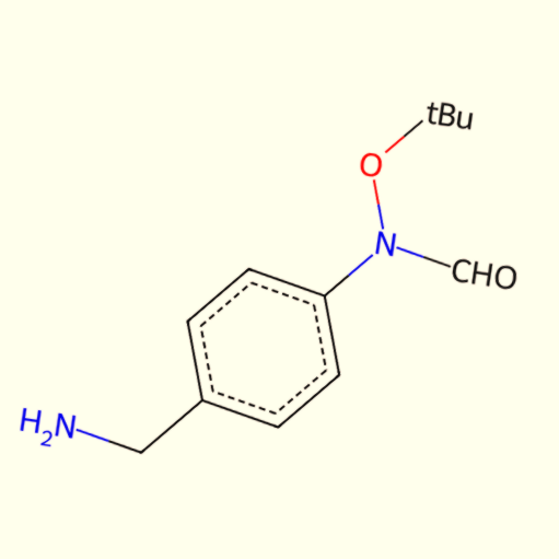 CC(C)(C)ON(C=O)c1ccc(CN)cc1